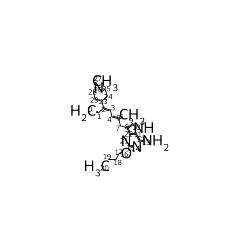 C=C/C(=C\C=C(/C)Cc1c[nH]c2c(N)nc(OCCCC)nc12)C1CCN(C)CC1